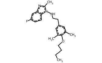 CCCCOc1c(C)cc(CCNn2c(C)nc3cc(F)ccc32)cc1C